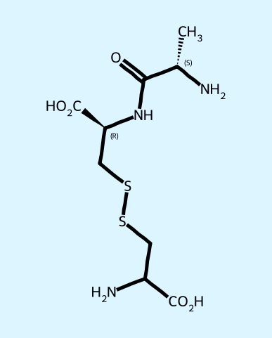 C[C@H](N)C(=O)N[C@@H](CSSCC(N)C(=O)O)C(=O)O